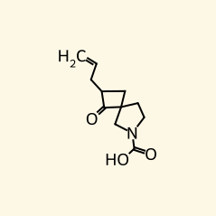 C=CCC1CC2(CCN(C(=O)O)C2)C1=O